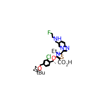 CCN1C(O[C@H](C)c2ccc(CO[Si](C)(C)C(C)(C)C)cc2Cl)=C(C(=O)O)SC1c1cnc2ccc(CNCCF)cn12